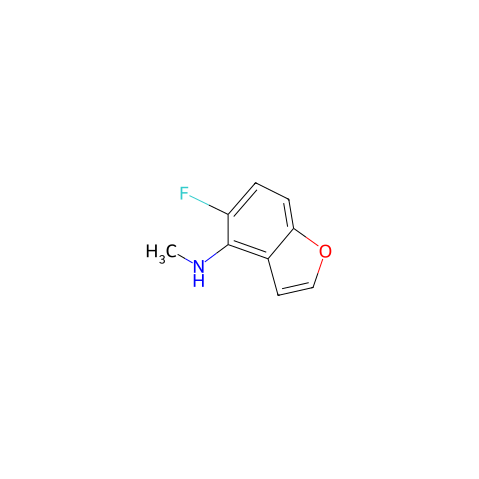 CNc1c(F)ccc2occc12